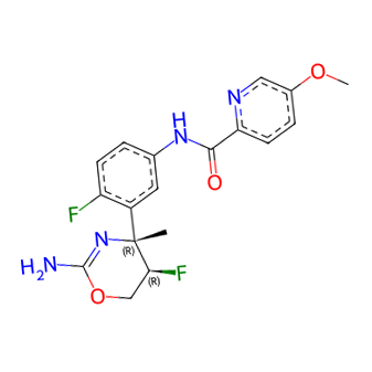 COc1ccc(C(=O)Nc2ccc(F)c([C@@]3(C)N=C(N)OC[C@@H]3F)c2)nc1